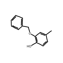 Cc1c[c]c(O)c(OCc2ccccc2)c1